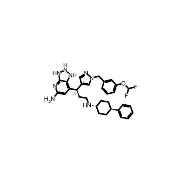 Nc1cc([C@H](CCN[C@H]2CC[C@H](c3ccccc3)CC2)c2cnn(Cc3cccc(OC(F)F)c3)c2)c2c(n1)NNN2